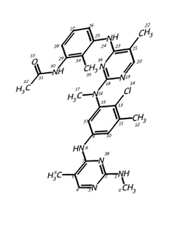 CNc1ncc(C)c(Nc2cc(C)c(Cl)c(N(C)c3ncc(C)c(Nc4cccc(NC(C)=O)c4C)n3)c2)n1